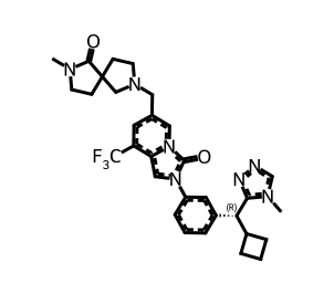 CN1CCC2(CCN(Cc3cc(C(F)(F)F)c4cn(-c5cccc([C@H](c6nncn6C)C6CCC6)c5)c(=O)n4c3)C2)C1=O